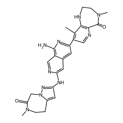 Cc1c(-c2cc3cc(Nc4cc5n(n4)CC(=O)N(C)CC5)ncc3c(N)n2)cnc2c1NCCN(C)C2=O